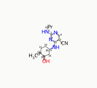 CC(C)Nc1ncc(C#N)c(N[C@@H]2CC[C@@H](C)[C@H](O)C2)n1